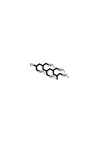 CCC(CN)CC(CN)CC(CN)CC(CN)CC(C)CN